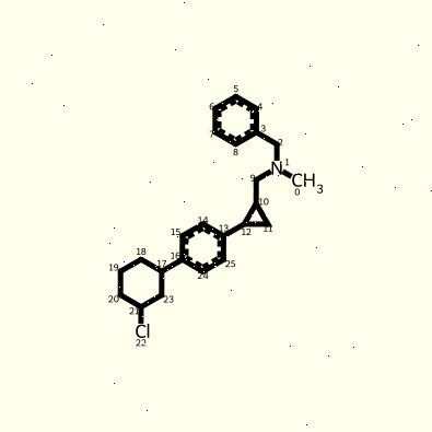 CN(Cc1ccccc1)CC1CC1c1ccc(C2CCCC(Cl)C2)cc1